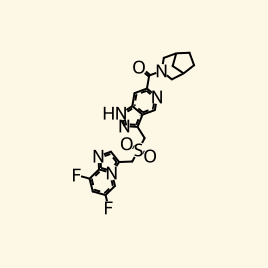 O=C(c1cc2[nH]nc(CS(=O)(=O)Cc3cnc4c(F)cc(F)cn34)c2cn1)N1CC2CCC(C2)C1